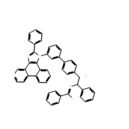 N/C(=N\C(c1ccccc1)[C@@H](N)c1ccc(-c2cccc(-n3c(-c4ccccc4)nc4c5cnccc5c5ccccc5c43)c2)cc1)c1ccccc1